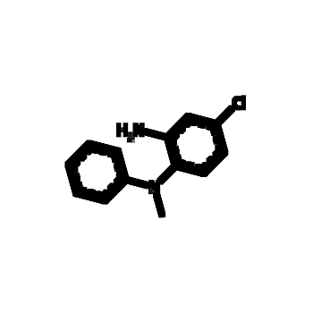 CN(c1ccccc1)c1ccc(Cl)cc1N